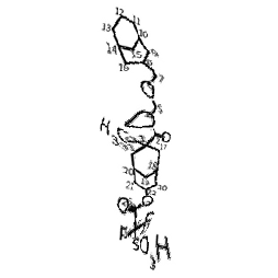 CC1(C(=O)OCOCC2CC3CCCC(C3)C2)CC2CC(CC(OC(=O)C(F)(F)S(=O)(=O)O)C2)C1